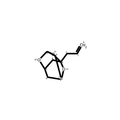 C=CCC12CC3CP(CC(O3)O1)O2